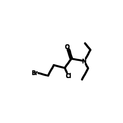 CCN(CC)C(=O)C(Cl)CCBr